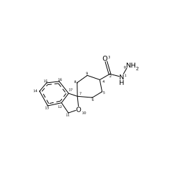 NNC(=O)C1CCC2(CC1)OCc1ccccc12